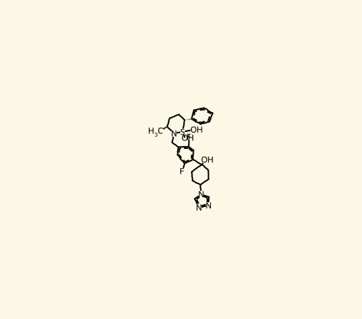 C[C@H]1CC[C@H](c2ccccc2)S(O)(O)N1Cc1cc(F)c(C2(O)CCC(n3cnnc3)CC2)cc1F